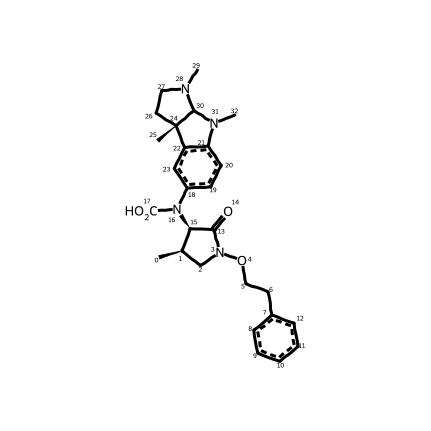 C[C@@H]1CN(OCCc2ccccc2)C(=O)[C@@H]1N(C(=O)O)c1ccc2c(c1)[C@]1(C)CCN(C)C1N2C